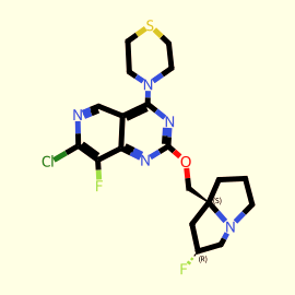 Fc1c(Cl)ncc2c(N3CCSCC3)nc(OC[C@@]34CCCN3C[C@H](F)C4)nc12